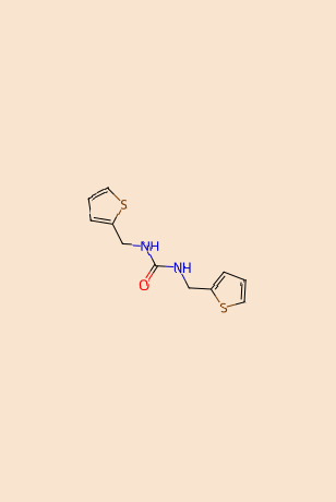 O=C(NCc1cccs1)NCc1cccs1